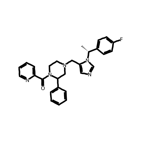 C[C@H](c1ccc(F)cc1)n1cncc1CN1CCN(C(=O)c2ccccn2)C(c2ccccc2)C1